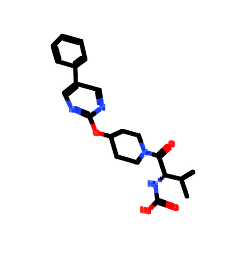 CC(C)[C@H](NC(=O)O)C(=O)N1CCC(Oc2ncc(-c3ccccc3)cn2)CC1